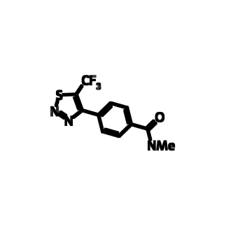 CNC(=O)c1ccc(-c2nnsc2C(F)(F)F)cc1